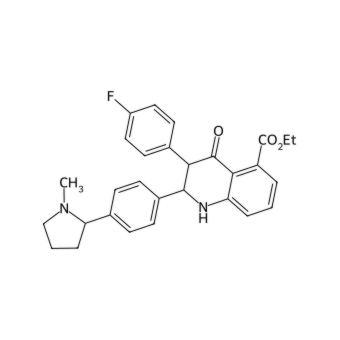 CCOC(=O)c1cccc2c1C(=O)C(c1ccc(F)cc1)C(c1ccc(C3CCCN3C)cc1)N2